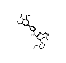 COc1cc(-n2cnc(NC3=NC4C=NN(C)C4C(N4CCC[C@H]4CO)=N3)c2)cc(OC)c1OC